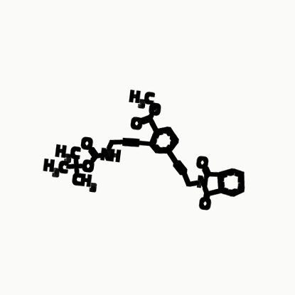 COC(=O)c1ccc(C#CCN2C(=O)c3ccccc3C2=O)cc1C#CCNC(=O)OC(C)(C)C